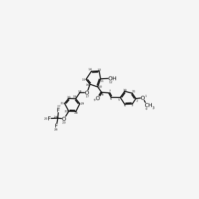 COc1ccc(C=CC(=O)c2c(O)cccc2OCc2ccc(OC(F)(F)F)cc2)cc1